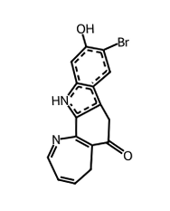 O=C1Cc2c([nH]c3cc(O)c(Br)cc23)C2=C1CC=CC=N2